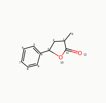 CC1CC(c2ccccc2)OC1=O